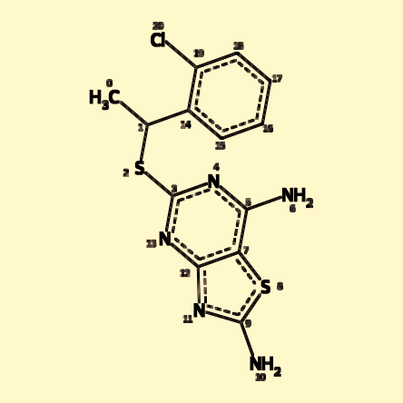 CC(Sc1nc(N)c2sc(N)nc2n1)c1ccccc1Cl